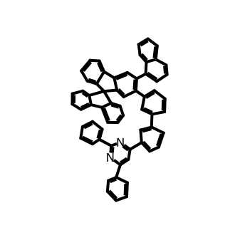 c1ccc(-c2cc(-c3cccc(-c4cccc(-c5cc6c(cc5-c5cccc7ccccc57)-c5ccccc5C65c6ccccc6-c6ccccc65)c4)c3)nc(-c3ccccc3)n2)cc1